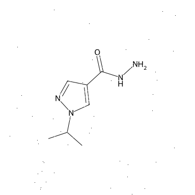 CC(C)n1cc(C(=O)NN)cn1